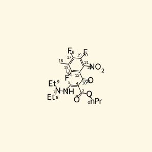 CCCOC(=O)C(=CNN(CC)CC)C(=O)c1c(F)c(C)c(F)c(F)c1[N+](=O)[O-]